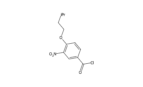 CC(C)CCOc1ccc(C(=O)Cl)cc1[N+](=O)[O-]